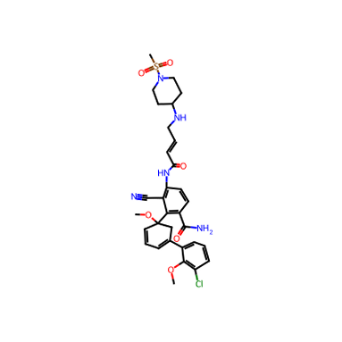 COc1c(Cl)cccc1C1=CC=CC(OC)(c2c(C(N)=O)ccc(NC(=O)C=CCNC3CCN(S(C)(=O)=O)CC3)c2C#N)C1